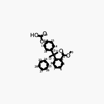 COC(=O)c1ccccc1C(C)(C)c1ccccc1.O=C(O)O.c1ccccc1